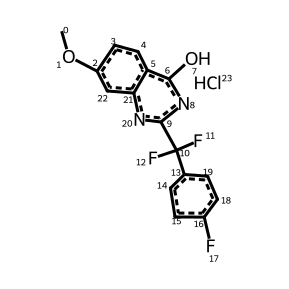 COc1ccc2c(O)nc(C(F)(F)c3ccc(F)cc3)nc2c1.Cl